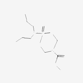 CCCN(CCC)P1(=O)OCN(C(=O)OC)CO1